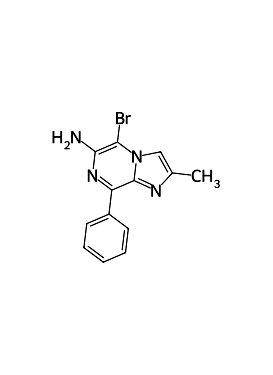 Cc1cn2c(Br)c(N)nc(-c3ccccc3)c2n1